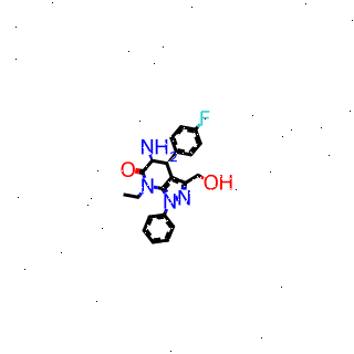 CCN1C(=O)[C@@H](N)[C@@H](c2ccc(F)cc2)c2c(CO)nn(-c3ccccc3)c21